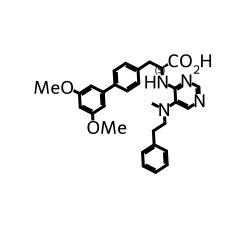 COc1cc(OC)cc(-c2ccc(C[C@H](Nc3ncncc3N(C)CCc3ccccc3)C(=O)O)cc2)c1